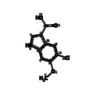 COc1cc2[nH]cc(C(=O)O)c2cc1Cl